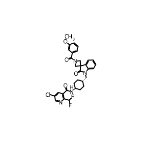 COc1cccc(C(=O)N2CC3(C2)C(=O)N(C[C@H]2CC[C@H](NC(=O)c4cc(Cl)cnc4C(F)F)CC2)c2ccccc23)c1